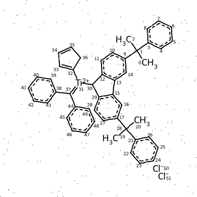 CC(C)(c1ccccc1)c1ccc2c(c1)-c1cc(C(C)(C)c3ccccc3)ccc1[CH]2[Ti+2]([C]1=CC=CC1)=[C](c1ccccc1)c1ccccc1.[Cl-].[Cl-]